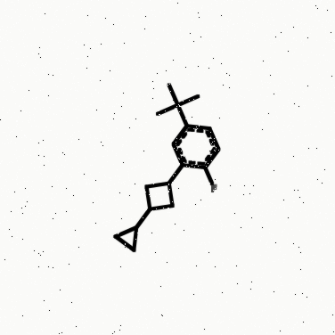 CC(C)(C)c1ccc(F)c(C2CC(C3CC3)C2)c1